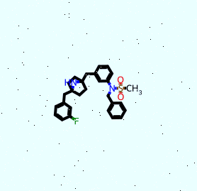 CS(=O)(=O)N(Cc1ccccc1)c1cccc(CC23CCC(Cc4cccc(F)c4)(CC2)N3)c1